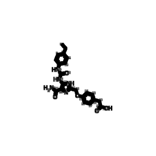 CCc1ccc(NC(=O)Nc2[nH]c(COc3ccc(CC(=O)O)cc3)nc2C(N)=O)cc1